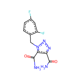 NC(=O)c1nnn(Cc2ccc(F)cc2F)c1C(N)=O